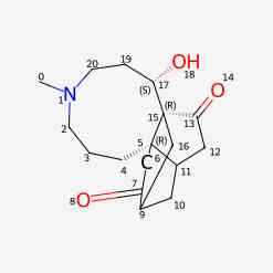 CN1CCC[C@@]23CC(=O)C4CC2CC(=O)[C@@]3(C4)[C@@H](O)CC1